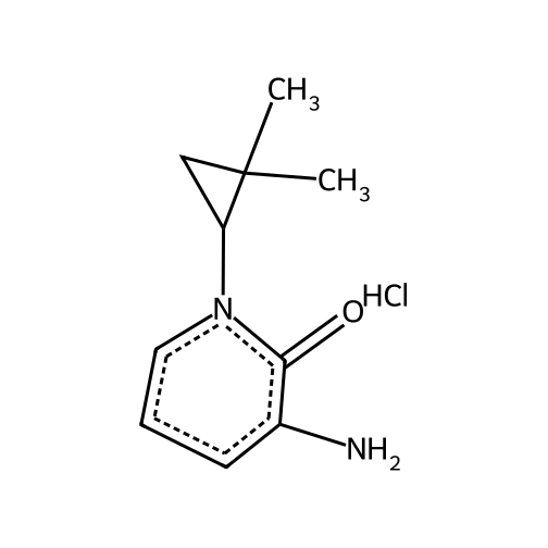 CC1(C)CC1n1cccc(N)c1=O.Cl